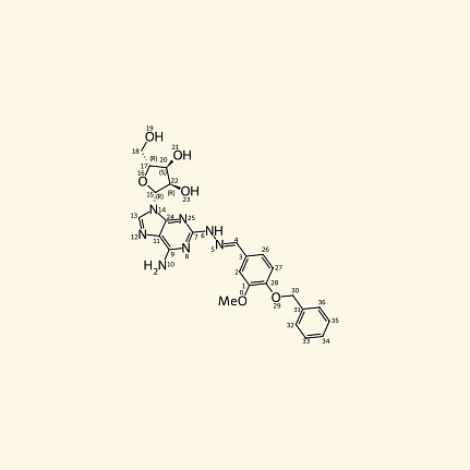 COc1cc(C=NNc2nc(N)c3ncn([C@@H]4O[C@H](CO)[C@@H](O)[C@H]4O)c3n2)ccc1OCc1ccccc1